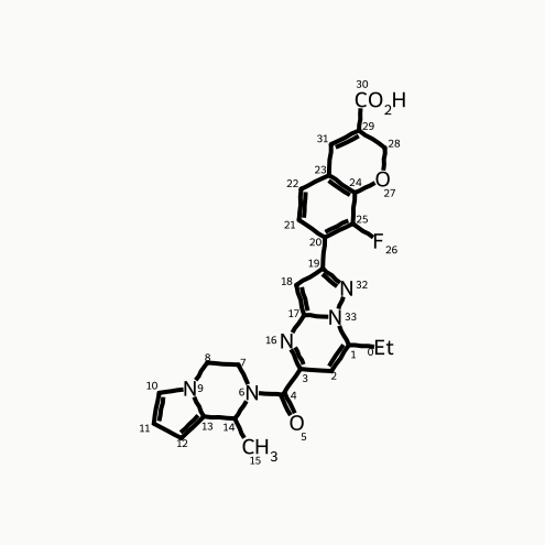 CCc1cc(C(=O)N2CCn3cccc3C2C)nc2cc(-c3ccc4c(c3F)OCC(C(=O)O)=C4)nn12